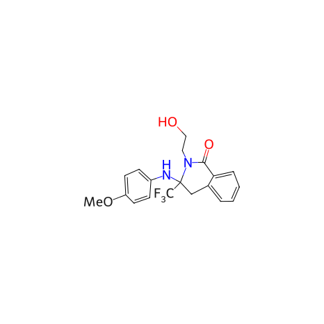 COc1ccc(NC2(C(F)(F)F)Cc3ccccc3C(=O)N2CCO)cc1